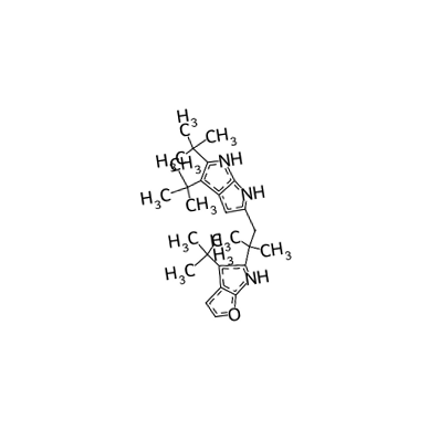 CC(C)(C)c1[nH]c2[nH]c(CC(C)(C)c3[nH]c4occc4c3C(C)(C)C)cc2c1C(C)(C)C